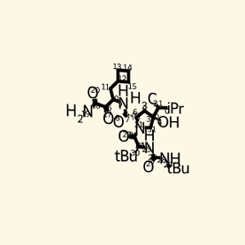 CC(C)C(C)[C@@]1(O)C[C@@H](C(=O)NC(CC2CCC2)C(=O)C(N)=O)N(C(=O)[C@@H](NC(=O)NC(C)(C)C)C(C)(C)C)C1